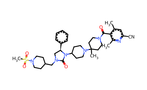 Cc1cc(C#N)nc(C)c1C(=O)N1CCC(C)(N2CCC(N3C(=O)N(CC4CCN(S(C)(=O)=O)CC4)C[C@H]3c3ccccc3)CC2)CC1